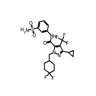 NS(=O)(=O)c1cccc(NC(=O)c2c(C(F)(F)F)c(C3CC3)nn2CC2CCC(F)(F)CC2)c1